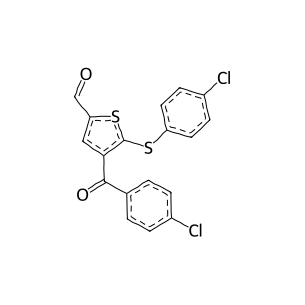 O=Cc1cc(C(=O)c2ccc(Cl)cc2)c(Sc2ccc(Cl)cc2)s1